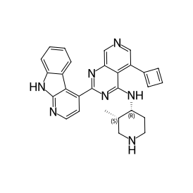 C[C@H]1CNCC[C@H]1Nc1nc(-c2ccnc3[nH]c4ccccc4c23)nc2cncc(C3=CC=C3)c12